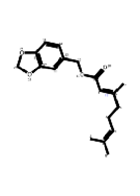 CC(C)=CCC/C(C)=C/C(=O)OCc1ccc2c(c1)OCO2